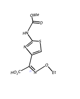 CCO/N=C(/C(=O)O)c1csc(NC(=O)OC)n1